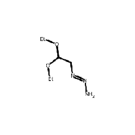 CCOC(CN=NN)OCC